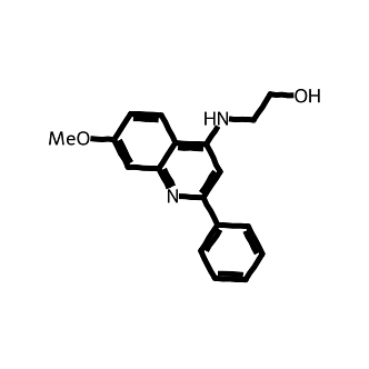 COc1ccc2c(NCCO)cc(-c3ccccc3)nc2c1